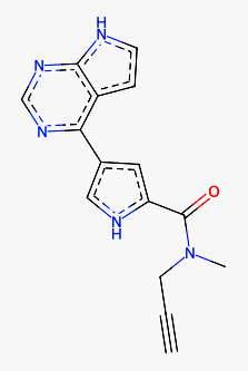 C#CCN(C)C(=O)c1cc(-c2ncnc3[nH]ccc23)c[nH]1